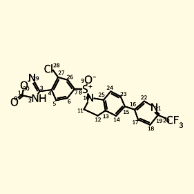 O=c1[nH]c(-c2ccc([S+]([O-])N3CCc4cc(-c5ccc(C(F)(F)F)nc5)ccc43)cc2Cl)no1